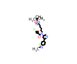 Cc1nc2ccc(-c3cncc(N(CCCCCc4noc(C(C)(C)C)n4)C(=O)C45CC(F)(C4)C5)c3)cc2s1